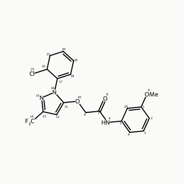 COc1cccc(NC(=O)COc2cc(C(F)(F)F)nn2C2=CC=CCC2Cl)c1